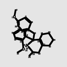 COc1ccc(CC2(c3ccccc3OC)C3=C(CCCC3)CC(C)N2C)cc1